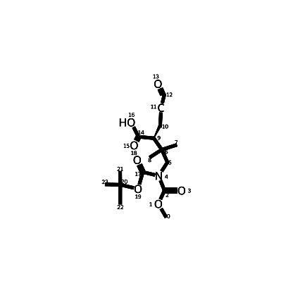 COC(=O)N(CC(C)(C)[C@H](CCC=O)C(=O)O)C(=O)OC(C)(C)C